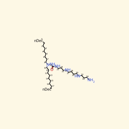 CCCCCCCCCCCCCCCCCCN(CCCCCCCCCCCCCCCCCC)NC(=O)NCCCNCCCCNCCCN